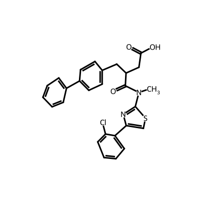 CN(C(=O)C(CC(=O)O)Cc1ccc(-c2ccccc2)cc1)c1nc(-c2ccccc2Cl)cs1